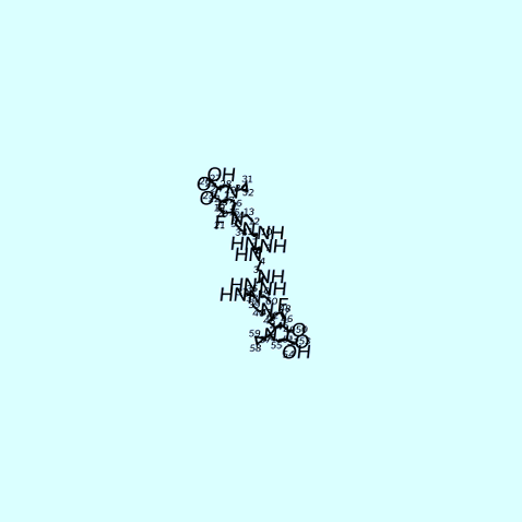 N=C(NCCNC(=N)NC(=N)N1CCN(c2cc3c(cc2F)c(=O)c(C(=O)O)cn3C2CC2)CC1)NC(=N)N1CCN(c2cc3c(cc2F)c(=O)c(C(=O)O)cn3C2CC2)CC1